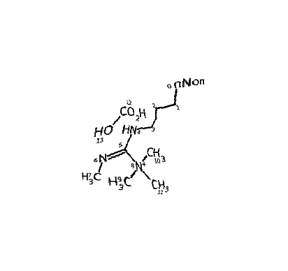 CCCCCCCCCCCCNC(=NC)[N+](C)(C)C.O=C(O)O